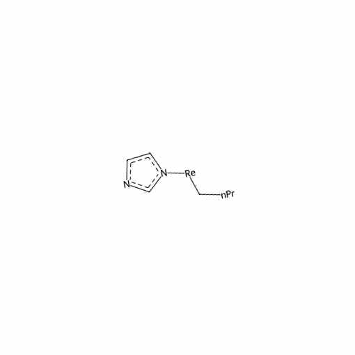 CCC[CH2][Re][n]1ccnc1